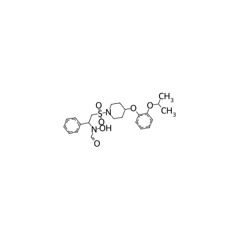 CC(C)Oc1ccccc1OC1CCN(S(=O)(=O)CC(c2ccccc2)N(O)C=O)CC1